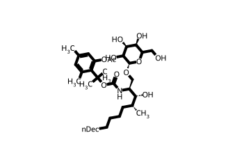 CCCCCCCCCCCCCC[C@@H](C)[C@@H](O)[C@H](CO[C@H]1OC(CO)[C@H](O)[C@H](O)C1O)NC(=O)OC(C)(C)c1c(C)cc(C)cc1OC(C)=O